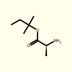 CCC(C)(C)OC(=O)[C@H](C)N